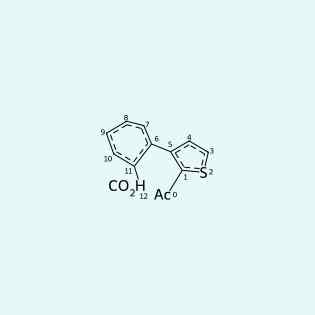 CC(=O)c1sccc1-c1ccccc1C(=O)O